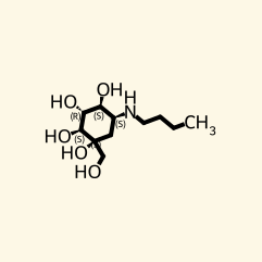 CCCCN[C@H]1C[C@](O)(CO)[C@@H](O)[C@H](O)[C@H]1O